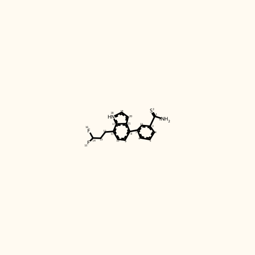 NC(=S)c1cccc(-c2ccc(CCC(F)F)c3[nH]ccc23)c1